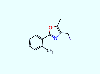 Cc1oc(-c2ccccc2C(F)(F)F)nc1CI